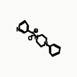 O=S(=O)(c1cccnc1)N1CCN(c2ccccc2)CC1